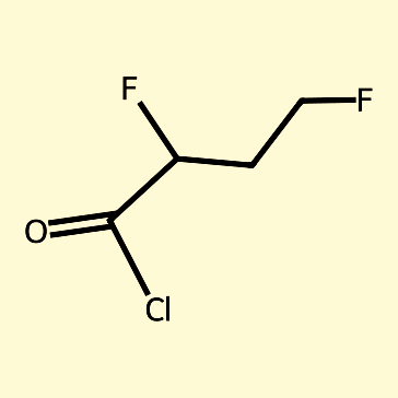 O=C(Cl)C(F)CCF